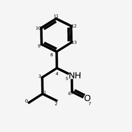 CC(C)CC(N[C]=O)c1ccccc1